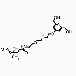 CSSC(C)(C)CCC(=O)NCCOCCOCCOc1cc(CO)nc(CO)c1